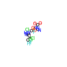 COc1ccc(CN(c2ccncn2)S(=O)(=O)c2cc(Cl)c(N[C@H]3CC4C(Cl)(Cl)[C@@]4(c4cccc(C(F)(F)F)c4)C[C@@H]3N(C)C)cc2F)c(OC)c1